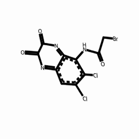 O=C(CBr)Nc1c(Cl)c(Cl)cc2c1=NC(=O)C(=O)N=2